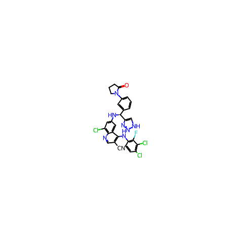 N#Cc1cnc2c(Cl)cc(N[C@@H](c3cccc(N4CCCC4=O)c3)c3c[nH]nn3)cc2c1Nc1ccc(Cl)c(Cl)c1F